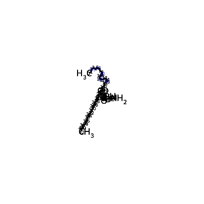 CC/C=C\C/C=C\C/C=C\C/C=C\C/C=C\CCCC(=O)O[C@H](COCCCCCCCCCCCCCCCCCC)COP(=O)(O)OCCN